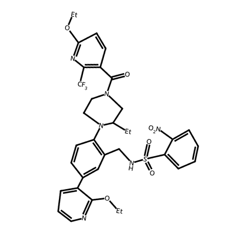 CCOc1ccc(C(=O)N2CCN(c3ccc(-c4cccnc4OCC)cc3CNS(=O)(=O)c3ccccc3[N+](=O)[O-])C(CC)C2)c(C(F)(F)F)n1